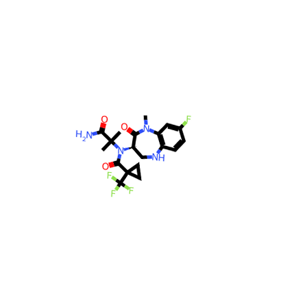 CN1C(=O)[C@H](N(C(=O)C2(C(F)(F)F)CC2)C(C)(C)C(N)=O)CNc2ccc(F)cc21